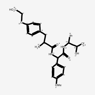 COc1ccc(C(NC(=O)C(N)Cc2ccc(OCC(=O)O)cc2)C(=O)NC(C(C)C)C(O)C(F)(F)F)cc1